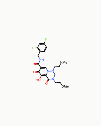 CNCCN1CN(CCOC)C(=O)c2c(O)c(=O)c(C(=O)NCc3ccc(F)cc3F)cn21